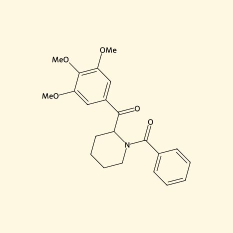 COc1cc(C(=O)C2CCCCN2C(=O)c2ccccc2)cc(OC)c1OC